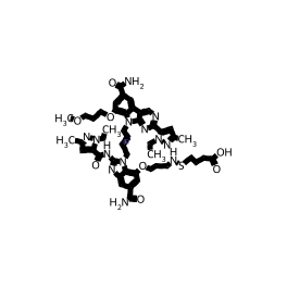 CCn1nc(C)cc1C(=O)Nc1nc2cc(C(N)=O)cc(OCCCNSCCCC(=O)O)c2n1C/C=C/Cn1c2nc(-c3cc(C)nn3CC)ncc2c2cc(C(N)=O)cc(OCCCOC)c21